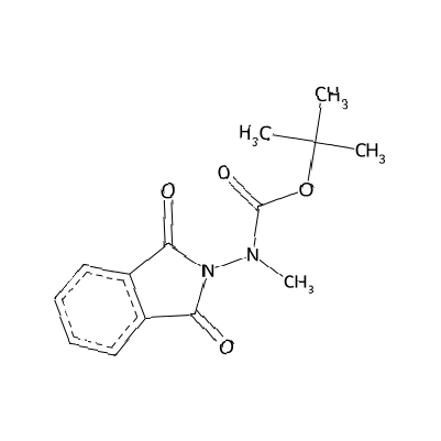 CN(C(=O)OC(C)(C)C)N1C(=O)c2ccccc2C1=O